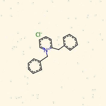 [Cl-].c1ccc(Cc2cccc[n+]2Cc2ccccc2)cc1